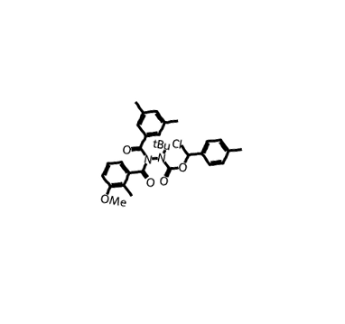 COc1cccc(C(=O)N(C(=O)c2cc(C)cc(C)c2)N(C(=O)OC(Cl)c2ccc(C)cc2)C(C)(C)C)c1C